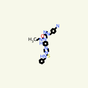 CCCNC(=O)N(Cc1cncn1Cc1ccc(C#N)cc1)c1ccc(N2CCN(C(=S)NCc3ccccc3)CC2)cc1